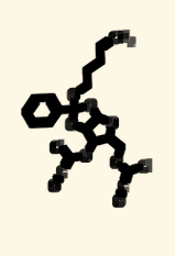 C=CCCCOC1(c2ccccc2)OC2OC(COC(Cl)=C=O)C(OC(Cl)=C=O)C2O1